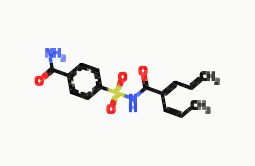 C=C/C=C(\C=C/C)C(=O)NS(=O)(=O)c1ccc(C(N)=O)cc1